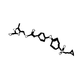 Cc1oc(=O)oc1COC(=O)Cc1ccc(Oc2ccc(S(=O)(=O)CC3CC3)cc2)cc1